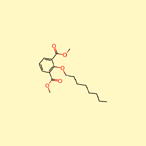 CCCCCCCCOc1c(C(=O)OC)cccc1C(=O)OC